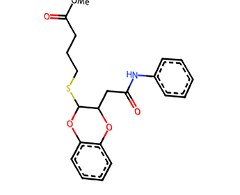 COC(=O)CCCSC1Oc2ccccc2OC1CC(=O)Nc1ccccc1